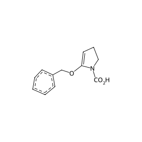 O=C(O)N1CCC=C1OCc1ccccc1